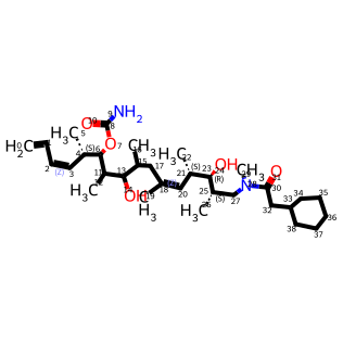 C=C/C=C\[C@H](C)C(OC(N)=O)C(C)C(O)C(C)C/C(C)=C\[C@H](C)[C@@H](O)[C@@H](C)CN(C)C(=O)CC1CCCCC1